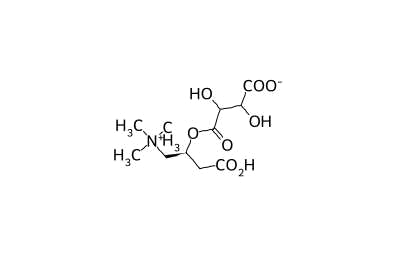 C[N+](C)(C)C[C@H](CC(=O)O)OC(=O)C(O)C(O)C(=O)[O-]